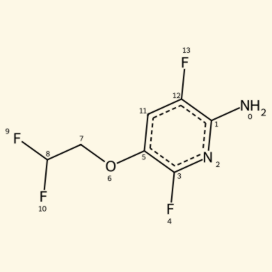 Nc1nc(F)c(OCC(F)F)cc1F